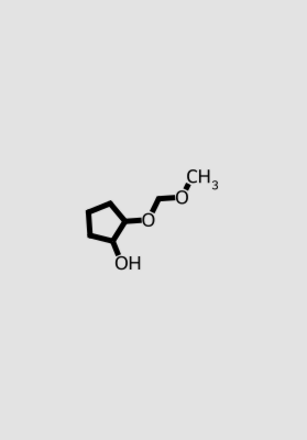 COCOC1CCCC1O